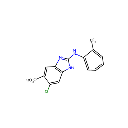 O=C(O)c1cc2nc(Nc3ccccc3C(F)(F)F)[nH]c2cc1Cl